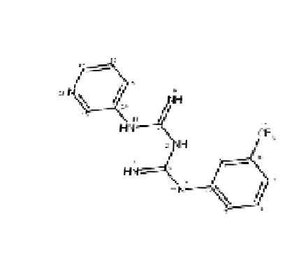 N=C(NC(=N)Nc1cccc(C(F)(F)F)c1)Nc1cccnc1